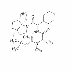 C[C@@H](C(=O)N[C@H](C(=O)N1CC[C@H]2CC[C@H](N)[C@H]21)C1CCCCC1)N(C)C(=O)OC(C)(C)C